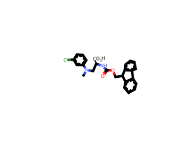 CN(C[C@H](NC(=O)OCC1c2ccccc2-c2ccccc21)C(=O)O)c1cccc(Cl)c1